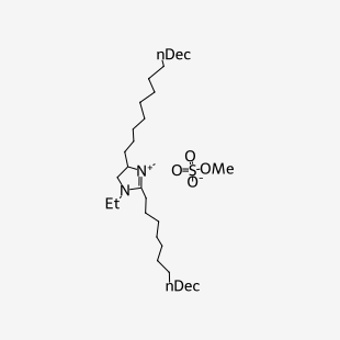 CCCCCCCCCCCCCCCCCCC1CN(CC)C(CCCCCCCCCCCCCCCCC)=[N+]1C.COS(=O)(=O)[O-]